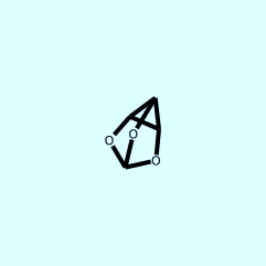 O1C2OC3C1C3O2